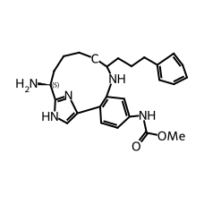 COC(=O)Nc1ccc2c(c1)NC(CCCc1ccccc1)CCCC[C@H](N)c1nc-2c[nH]1